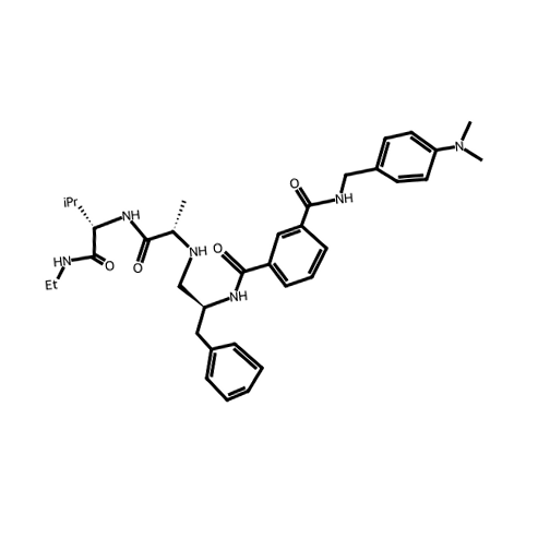 CCNC(=O)[C@@H](NC(=O)[C@H](C)NC[C@H](Cc1ccccc1)NC(=O)c1cccc(C(=O)NCc2ccc(N(C)C)cc2)c1)C(C)C